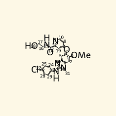 COc1cc2c(cc1Oc1ccnc(C(=O)NCCO)c1)nc(Nc1ccc(Cl)cc1)n2C